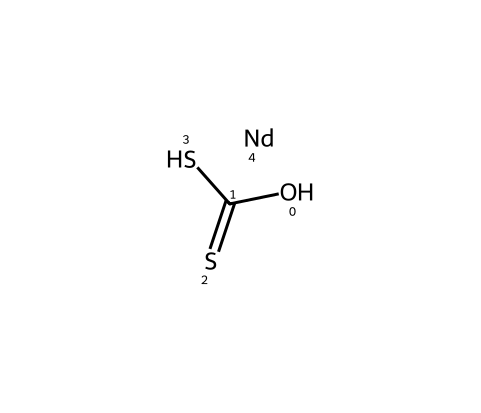 OC(=S)S.[Nd]